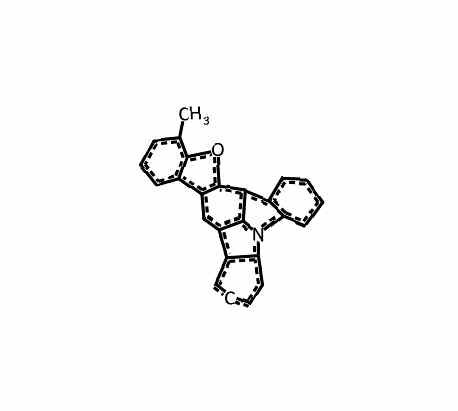 Cc1cccc2c1oc1c2cc2c3ccccc3n3c4ccccc4c1c23